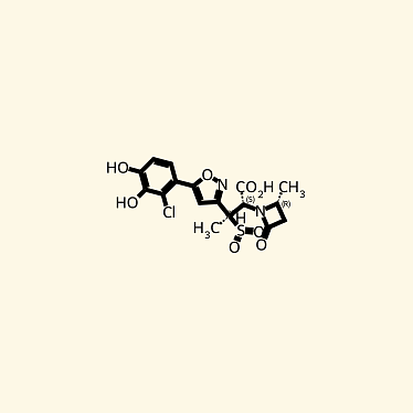 C[C@@H]1CC(=O)N1[C@@H](C(=O)O)[C@](C)(c1cc(-c2ccc(O)c(O)c2Cl)on1)[SH](=O)=O